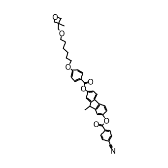 CC1c2cc(OC(=O)c3ccc(C#N)cc3)ccc2-c2ccc(OC(=O)c3ccc(OCCCCCCOCC4(C)COC4)cc3)cc21